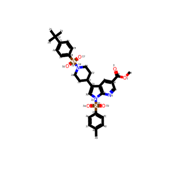 COC(=O)c1cnc2c(c1)c(C1CCN(S(=O)(=O)c3ccc(C(C)(C)C)cc3)CC1)cn2S(=O)(=O)c1ccc(C)cc1